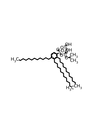 CCCCCCCCCCCCc1ccc(S(=O)(=O)[O][Ti](=[O])[O]C(C)C)c(CCCCCCCCCCCC)c1CCCCCCCCCCCC.[O]=[Ti]([OH])[OH]